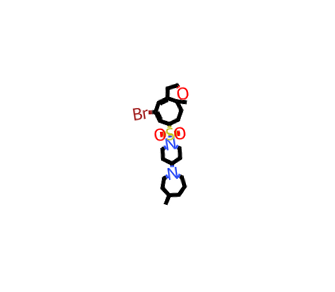 CC1CCCN(C2CCN(S(=O)(=O)C3/C=C(Br)\C=C4\CCOC4(C)CC3)CC2)CC1